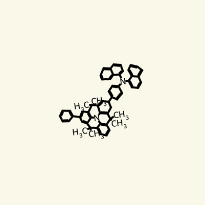 CC1(C)C2=CC(c3ccc(N(c4cccc5ccccc45)c4cccc5ccccc45)cc3)CC3=C2N2c4c1cc(-c1ccccc1)cc4C(C)(C)c1cccc(c12)C3(C)C